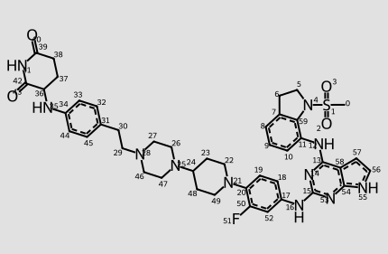 CS(=O)(=O)N1CCc2cccc(Nc3nc(Nc4ccc(N5CCC(N6CCN(CCc7ccc(NC8CCC(=O)NC8=O)cc7)CC6)CC5)c(F)c4)nc4[nH]ccc34)c21